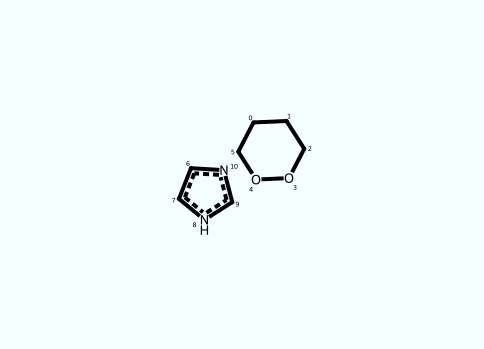 C1CCOOC1.c1c[nH]cn1